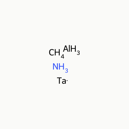 C.N.[AlH3].[Ta]